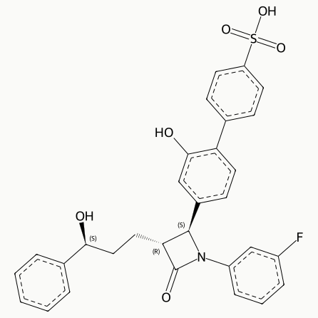 O=C1[C@H](CC[C@H](O)c2ccccc2)[C@@H](c2ccc(-c3ccc(S(=O)(=O)O)cc3)c(O)c2)N1c1cccc(F)c1